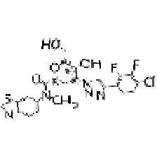 CN(C(=O)[C@H]1C[C@@H](n2cc(-c3ccc(Cl)c(F)c3F)nn2)[C@@H](O)[C@@H](CO)O1)c1ccc2ncsc2c1